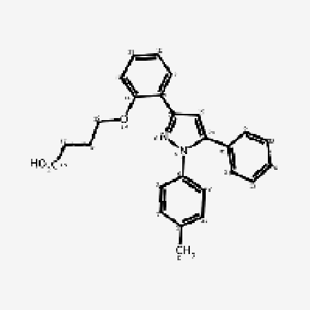 Cc1ccc(-n2nc(-c3ccccc3OCCCC(=O)O)cc2-c2ccccc2)cc1